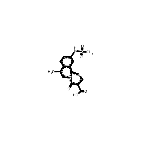 Cc1cn2c(=O)c(C(=O)O)cnc2c2cc(NS(C)(=O)=O)ccc12